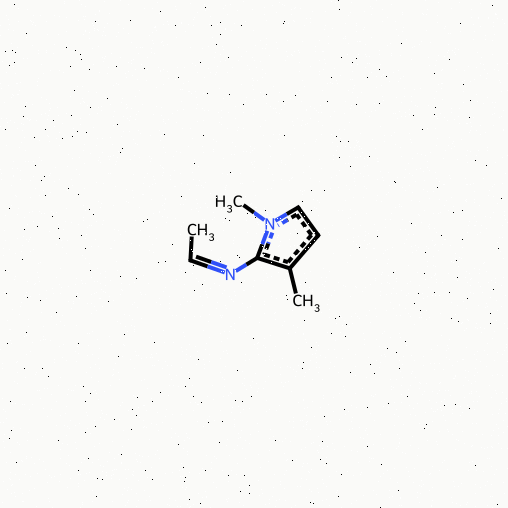 C/C=N\c1c(C)ccn1C